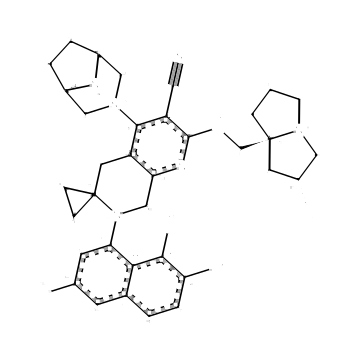 N#Cc1c(OC[C@@]23CCCN2C[C@H](F)C3)nc2c(c1N1CC3CCC(C1)N3)CC1(CC1)N(c1cc(O)cc3ccc(F)c(Cl)c13)C2